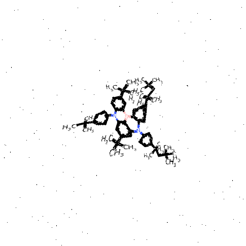 CC(C)(C)CC(C)(C)c1ccc(N2c3ccc(C(C)(C)CC(C)(C)C)cc3B3c4cc(C(C)(C)C)ccc4N(c4ccc(C(C)(C)C)cc4)c4cc(C(C)(C)C)cc2c43)cc1